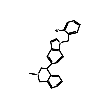 CN1Cc2ccccc2C(c2ccc3c(ccn3Cc3ccccc3C#N)c2)C1